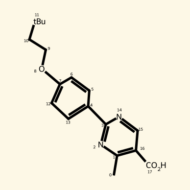 Cc1nc(-c2ccc(OCCC(C)(C)C)cc2)ncc1C(=O)O